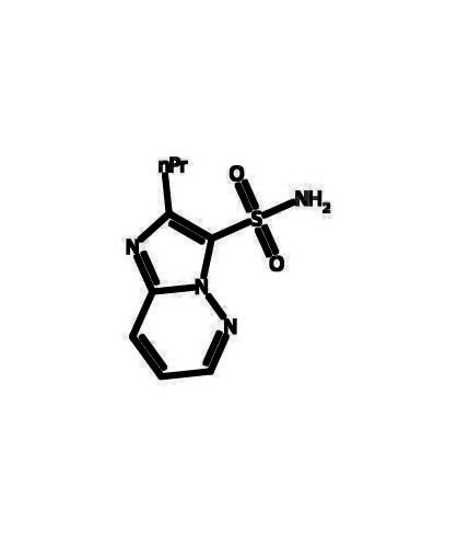 CCCc1nc2cccnn2c1S(N)(=O)=O